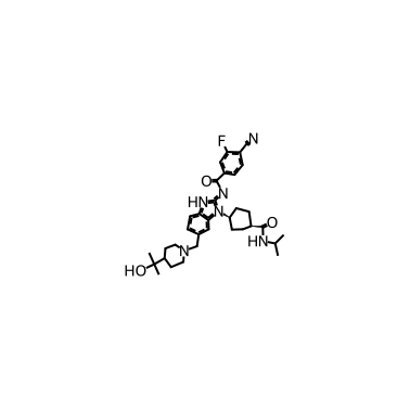 CC(C)NC(=O)[C@H]1CC[C@@H](n2/c(=N/C(=O)c3ccc(C#N)c(F)c3)[nH]c3ccc(CN4CCC(C(C)(C)O)CC4)cc32)CC1